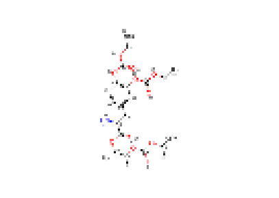 CC(C)C(C)OC(=O)OC(C)[C@H](C)OC(=O)[C@@H](N)Cc1ccc(OC(=O)OCC(C)(C)C)c(OC(=O)OCC(C)(C)C)c1